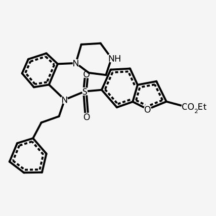 CCOC(=O)c1cc2ccc(S(=O)(=O)N(CCc3ccccc3)c3ccccc3N3CCNCC3)cc2o1